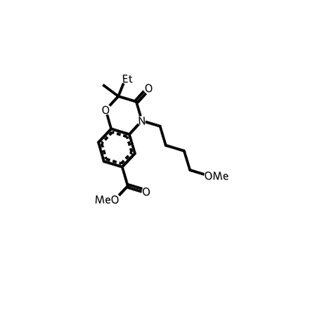 CCC1(C)Oc2ccc(C(=O)OC)cc2N(CCCCOC)C1=O